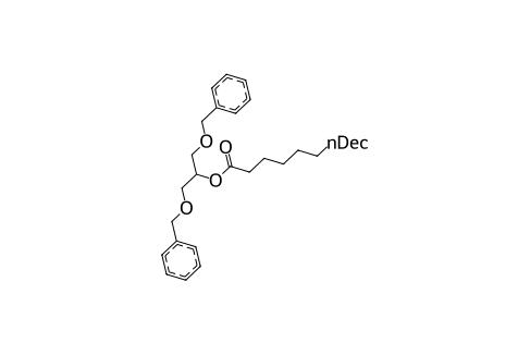 CCCCCCCCCCCCCCCC(=O)OC(COCc1ccccc1)COCc1ccccc1